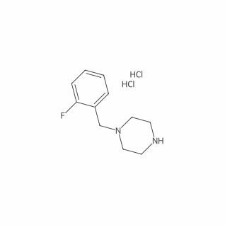 Cl.Cl.Fc1ccccc1CN1CCNCC1